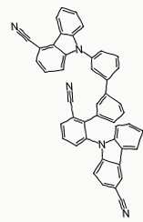 N#Cc1ccc2c(c1)c1ccccc1n2-c1cccc(C#N)c1-c1cccc(-c2cccc(-n3c4ccccc4c4c(C#N)cccc43)c2)c1